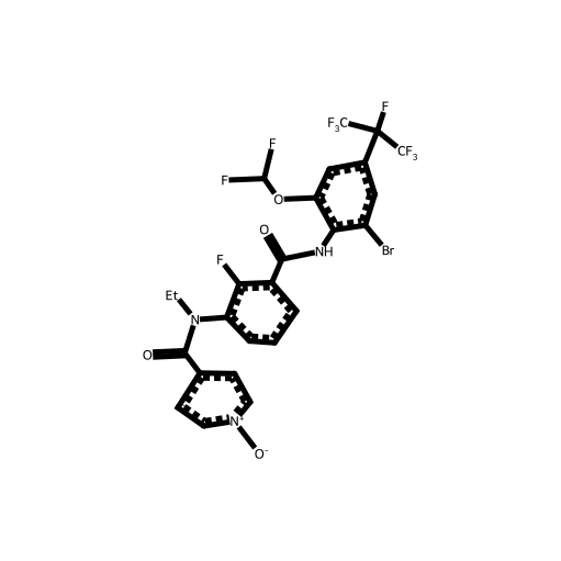 CCN(C(=O)c1cc[n+]([O-])cc1)c1cccc(C(=O)Nc2c(Br)cc(C(F)(C(F)(F)F)C(F)(F)F)cc2OC(F)F)c1F